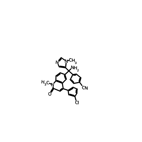 Cn1cncc1C(N)(c1ccc(C#N)cc1)c1ccc2c(c1)c(-c1cccc(Cl)c1)cc(=O)n2C